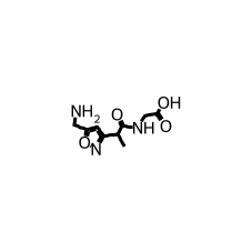 CC(C(=O)NCC(=O)O)c1cc(CN)on1